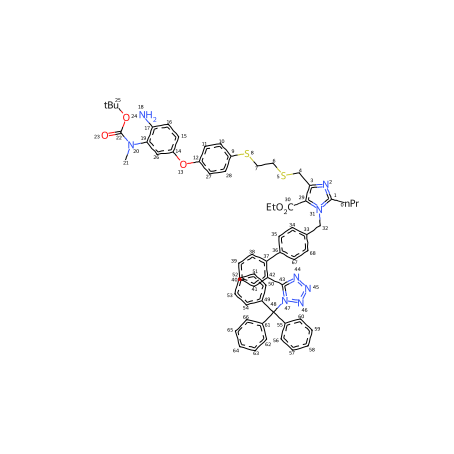 CCCc1nc(CSCCSc2ccc(Oc3ccc(N)c(N(C)C(=O)OC(C)(C)C)c3)cc2)c(C(=O)OCC)n1Cc1ccc(-c2ccccc2-c2nnnn2C(c2ccccc2)(c2ccccc2)c2ccccc2)cc1